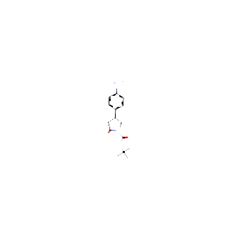 CC(C)(C)OC(=O)N1CC(c2ccc([N+](=O)[O-])cc2)CC1=O